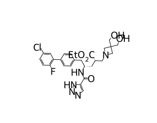 CCOC(=O)[C@@H](C[C@@H](Cc1ccc(-c2cc(Cl)ccc2F)cc1)NC(=O)c1cnn[nH]1)CN1CC(CO)(CO)C1